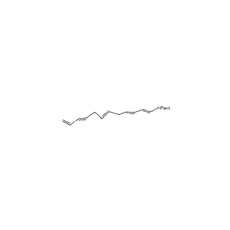 [CH]=CC=CCC=CCC=CC=CCCCCC